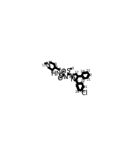 CSC(=NS(=O)(=O)NCC1CCN(C)CC1)N1CC(c2ccccc2)C(c2ccc(Cl)cc2)=N1